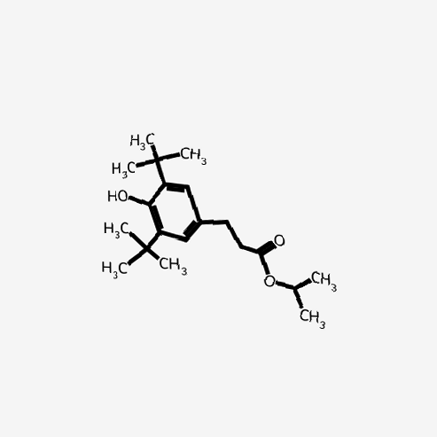 CC(C)OC(=O)CCc1cc(C(C)(C)C)c(O)c(C(C)(C)C)c1